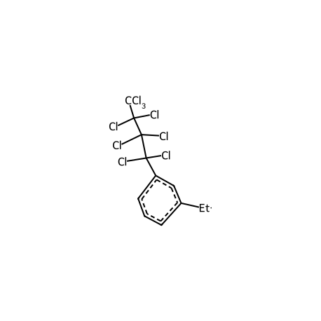 C[CH]c1cccc(C(Cl)(Cl)C(Cl)(Cl)C(Cl)(Cl)C(Cl)(Cl)Cl)c1